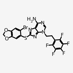 Nc1ncn(CCc2c(F)c(F)c(F)c(F)c2F)c2nc(Sc3cc4c(cc3Br)OCO4)nc1-2